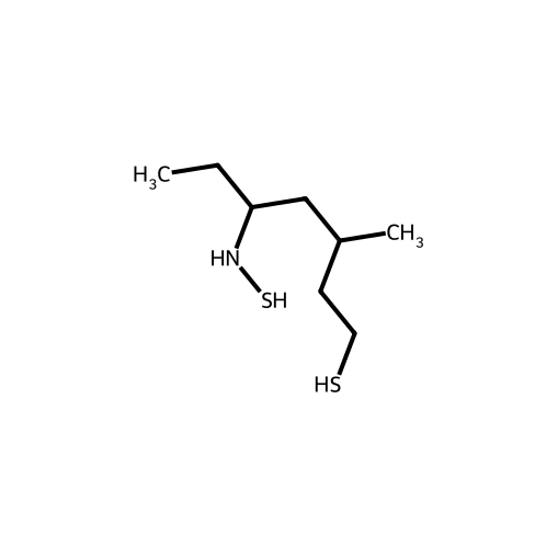 CCC(CC(C)CCS)NS